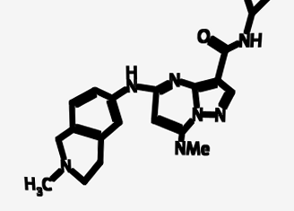 CNc1cc(Nc2ccc3c(c2)CCN(C)C3)nc2c(C(=O)NC3CC3)cnn12